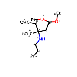 CCOC(CC(CC=O)(NCCC(C)C)C(=O)O)OCC